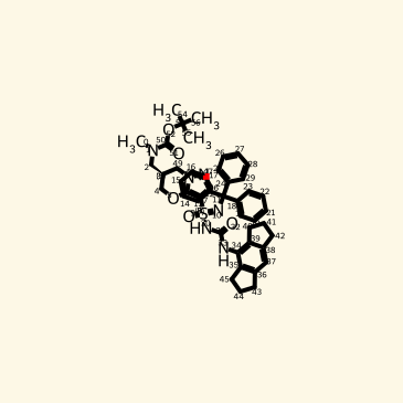 CN(C[C@@H]1COc2c([S@](=O)(=NC(c3ccccc3)(c3ccccc3)c3ccccc3)NC(=O)Nc3c4c(cc5c3CCC5)CCC4)cnn2C1)C(=O)OC(C)(C)C